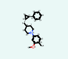 COc1cc(N2CCC(C[C@@H]3C[C@H]3c3ccccc3)CC2)ccc1C